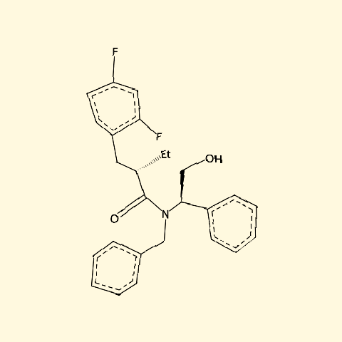 CC[C@@H](Cc1ccc(F)cc1F)C(=O)N(Cc1ccccc1)[C@@H](CO)c1ccccc1